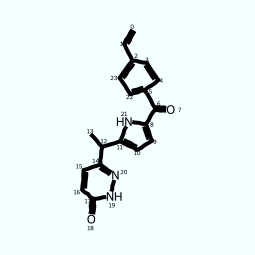 C=Cc1ccc(C(=O)c2ccc(C(C)c3ccc(=O)[nH]n3)[nH]2)cc1